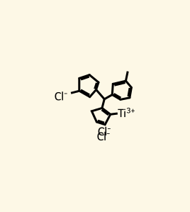 Cc1cccc(C(C2=[C]([Ti+3])C=CC2)c2cccc(C)c2)c1.[Cl-].[Cl-].[Cl-]